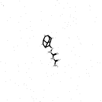 NC(=O)NC(=O)NSC1C2CC3CC(C2)CC1C3